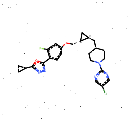 Fc1cc(OC[C@@H]2C[C@H]2CC2CCN(c3ncc(Cl)cn3)CC2)ccc1-c1nnc(C2CC2)o1